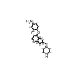 Nc1ccc(Oc2ccnc3cc(CN4CCNCC4)sc23)c(F)c1